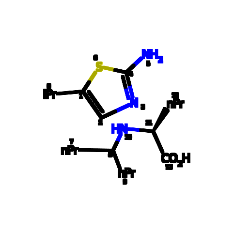 CC(C)c1cnc(N)s1.CCCC(CCC)N[C@@H](CCC)C(=O)O